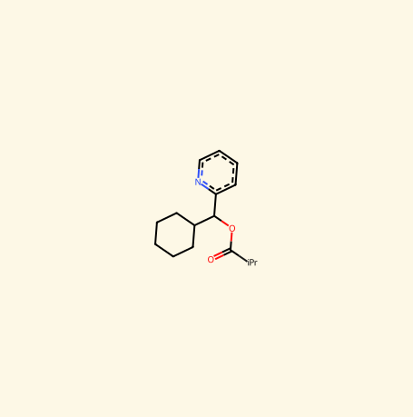 CC(C)C(=O)OC(c1ccccn1)C1CCCCC1